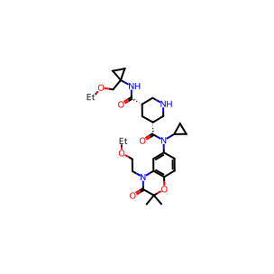 CCOCCN1C(=O)C(C)(C)Oc2ccc(N(C(=O)[C@H]3CNC[C@@H](C(=O)NC4(COCC)CC4)C3)C3CC3)cc21